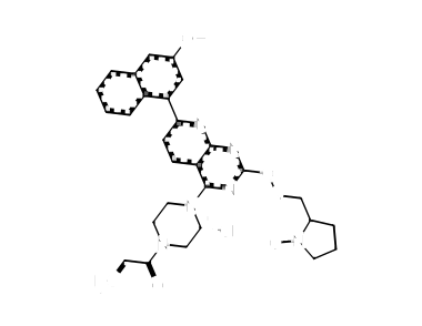 C=CC(=O)N1CCN(c2nc(OSCC3CCCN3C)nc3nc(-c4cc(O)cc5ccccc45)ccc23)[C@H](C)C1